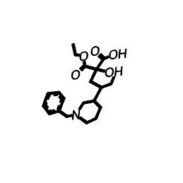 CCOC(=O)C(O)(CC(CC)C1CCCN(Cc2ccccc2)C1)C(=O)O